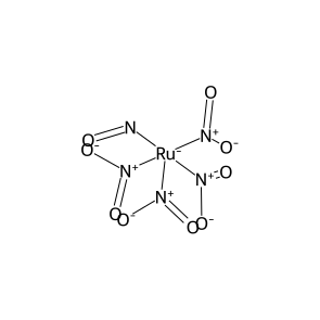 O=[N][Ru-]([N+](=O)[O-])([N+](=O)[O-])([N+](=O)[O-])[N+](=O)[O-]